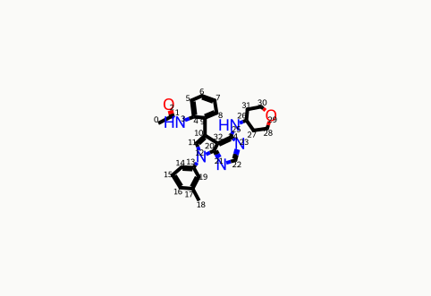 CC(=O)Nc1ccccc1-c1cn(-c2cccc(C)c2)c2ncnc(NC3CCOCC3)c12